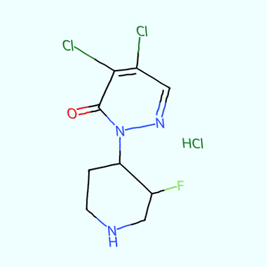 Cl.O=c1c(Cl)c(Cl)cnn1C1CCNCC1F